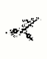 CC1(C)OB(O)c2cc(NC(=O)[C@@H](CCc3ccc(C(F)(F)F)cc3)NC(=O)[C@@H](N)CCC(=O)N(C[C@@H](O)CN)C[C@@H](O)CN)ccc21